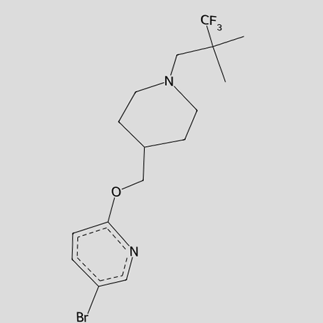 CC(C)(CN1CCC(COc2ccc(Br)cn2)CC1)C(F)(F)F